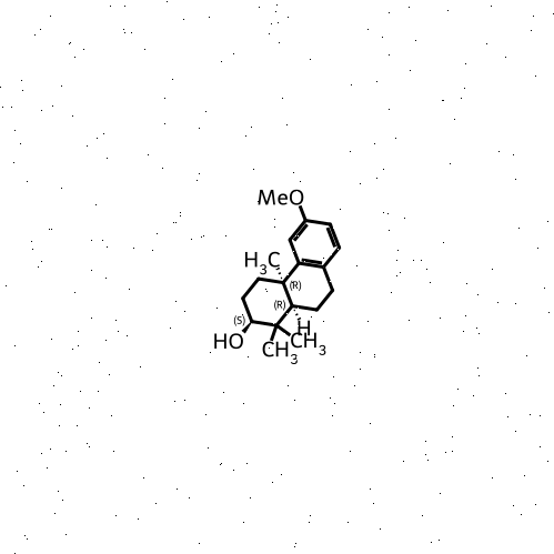 COc1ccc2c(c1)[C@]1(C)CC[C@H](O)C(C)(C)[C@@H]1CC2